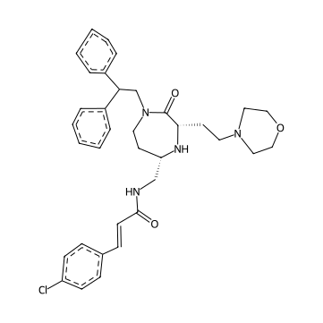 O=C(/C=C/c1ccc(Cl)cc1)NC[C@@H]1CCN(CC(c2ccccc2)c2ccccc2)C(=O)[C@H](CCN2CCOCC2)N1